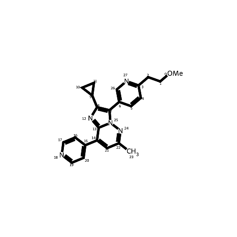 COCCc1ccc(-c2c(C3CC3)nc3c(-c4ccncc4)cc(C)nn23)cn1